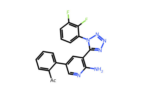 CC(=O)c1ccccc1-c1cnc(N)c(-c2nnnn2-c2cccc(F)c2F)c1